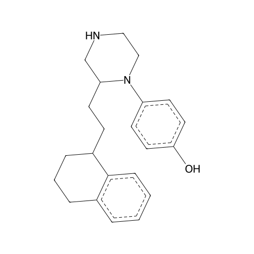 Oc1ccc(N2CCNCC2CCC2CCCc3ccccc32)cc1